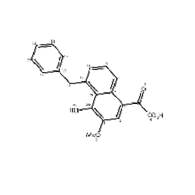 COc1cc(C(=O)C(=O)O)c2cccc(Cc3ccccc3)c2c1O